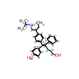 CCC(CNC(C)C)c1ccc(/C(=C(/CCCO)c2ccccc2)c2ccc(O)cc2)cc1